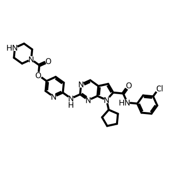 O=C(Nc1cccc(Cl)c1)c1cc2cnc(Nc3ccc(OC(=O)N4CCNCC4)cn3)nc2n1C1CCCC1